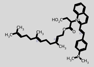 CC(C)=CCC/C(C)=C/CC/C(C)=C/COC(=O)C(CC(=O)O)[n+]1c(/C=C/c2ccc(N(C)C)cc2)ccc2ccccc21